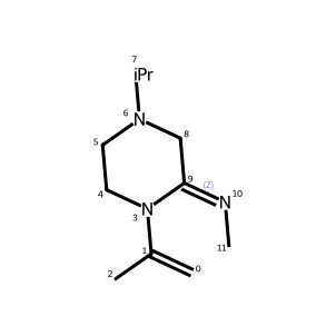 C=C(C)N1CCN(C(C)C)C/C1=N/C